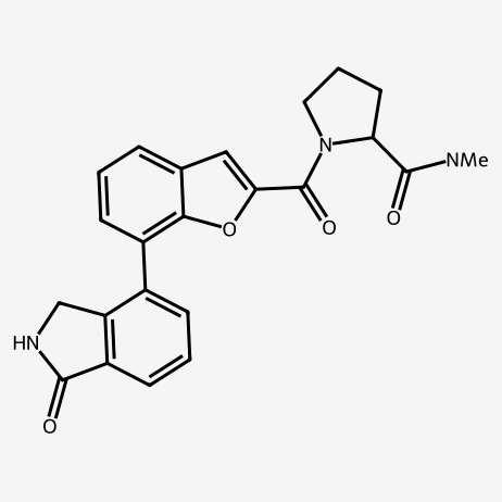 CNC(=O)C1CCCN1C(=O)c1cc2cccc(-c3cccc4c3CNC4=O)c2o1